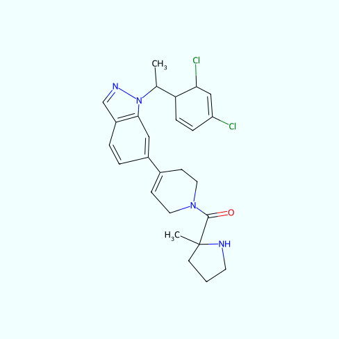 CC(C1C=CC(Cl)=CC1Cl)n1ncc2ccc(C3=CCN(C(=O)C4(C)CCCN4)CC3)cc21